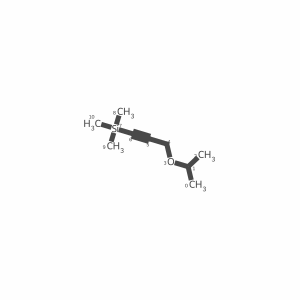 CC(C)OCC#C[Si](C)(C)C